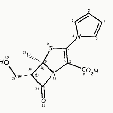 O=C(O)C1=C(n2cccc2)S[C@@H]2[C@@H](CO)C(=O)N12